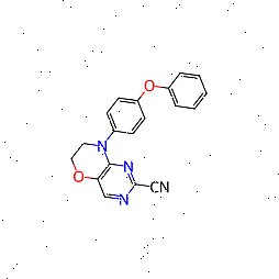 N#Cc1ncc2c(n1)N(c1ccc(Oc3ccccc3)cc1)CCO2